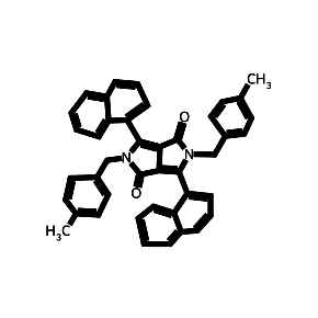 Cc1ccc(CN2C(=O)C3=C(c4cccc5ccccc45)N(Cc4ccc(C)cc4)C(=O)C3=C2c2cccc3ccccc23)cc1